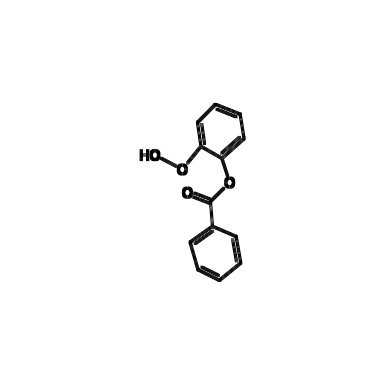 O=C(Oc1ccccc1OO)c1ccccc1